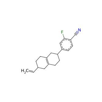 C=CC1CCC2=C(CCC(c3ccc(C#N)c(F)c3)C2)C1